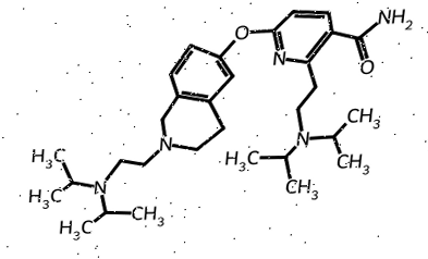 CC(C)N(CCc1nc(Oc2ccc3c(c2)CCN(CCN(C(C)C)C(C)C)C3)ccc1C(N)=O)C(C)C